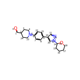 O=CC1CCN(c2ccc(-c3cnn(C4CCCCO4)c3)cc2)CC1